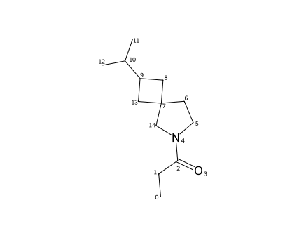 CCC(=O)N1CCC2(CC(C(C)C)C2)C1